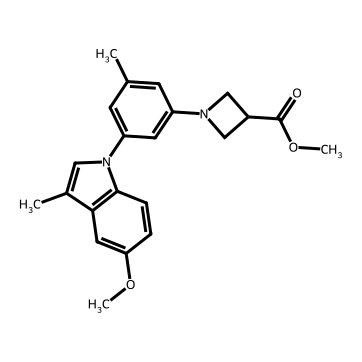 COC(=O)C1CN(c2cc(C)cc(-n3cc(C)c4cc(OC)ccc43)c2)C1